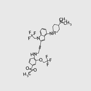 CN(C)C1CCC(Nc2cccc3c2cc(C#CCNc2ccc(S(C)(=O)=O)cc2OCC(F)(F)F)n3CC(F)(F)F)CC1